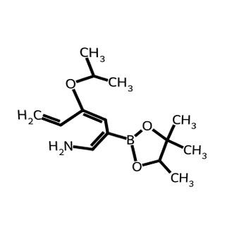 C=C/C(=C\C(=C/N)B1OC(C)C(C)(C)O1)OC(C)C